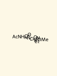 CCn1c(=NOC)oc2cc(N3C[C@H](CNC(C)=O)OC3=O)ccc21